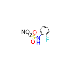 O=[N+]([O-])CS(=O)(=O)Nc1ccccc1F